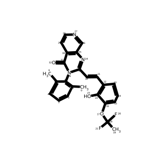 Cc1cccc(C)c1-n1c(/C=C/c2cccc(OC(C)(F)F)c2O)nc2cnccc2c1=O